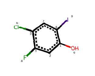 Oc1cc(F)c(Cl)cc1I